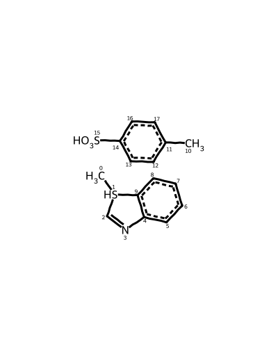 C[SH]1C=Nc2ccccc21.Cc1ccc(S(=O)(=O)O)cc1